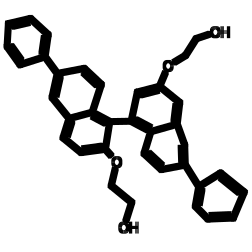 OCCOc1cc(-c2c(OCCO)ccc3cc(-c4ccccc4)ccc23)c2ccc(-c3ccccc3)cc2c1